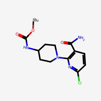 CC(C)(C)OC(=O)NC1CCN(c2nc(Cl)ccc2C(N)=O)CC1